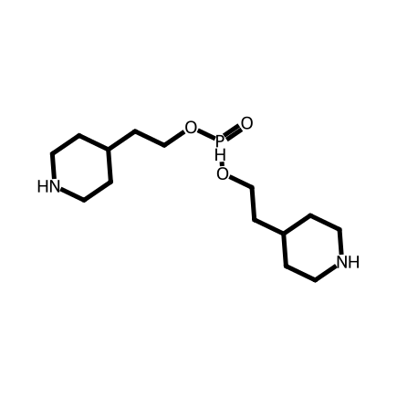 O=[PH](OCCC1CCNCC1)OCCC1CCNCC1